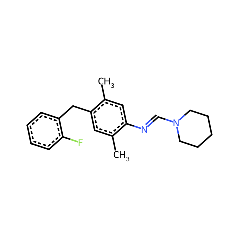 Cc1cc(N=CN2CCCCC2)c(C)cc1Cc1ccccc1F